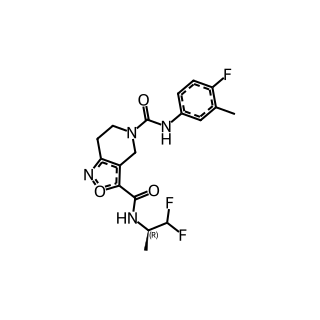 Cc1cc(NC(=O)N2CCc3noc(C(=O)N[C@H](C)C(F)F)c3C2)ccc1F